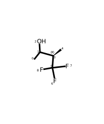 CC(O)[C@@H](C)C(F)(F)F